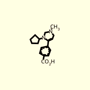 CN1CC=C(c2ccc(C(=O)O)cc2)N(C2CCCC2)C1